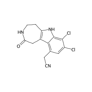 N#CCc1cc(Cl)c(Cl)c2[nH]c3c(c12)CC(=O)NCC3